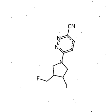 N#Cc1ccc(N2CC(I)C(CF)C2)nn1